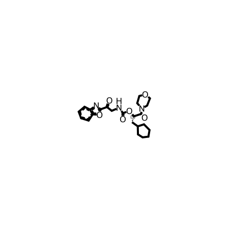 O=C(NCC(=O)c1nc2ccccc2o1)O[C@@H](CC1CCCCC1)C(=O)N1CCOCC1